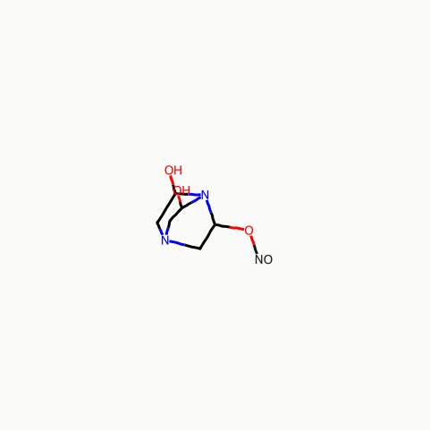 O=NOC1CN2CC(O)N1C(O)C2